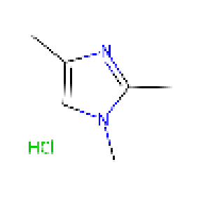 Cc1cn(C)c(C)n1.Cl